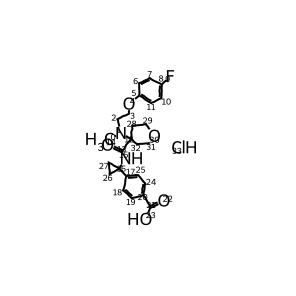 CN(CCOc1ccc(F)cc1)C1(C(=O)NC2(c3ccc(C(=O)O)cc3)CC2)CCOCC1.Cl